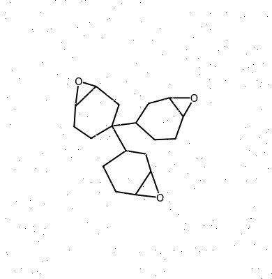 C1CC(C2(C3CCC4OC4C3)CCC3OC3C2)CC2OC12